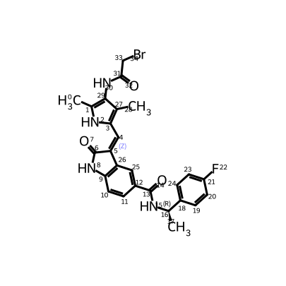 Cc1[nH]c(/C=C2\C(=O)Nc3ccc(C(=O)N[C@H](C)c4ccc(F)cc4)cc32)c(C)c1NC(=O)CBr